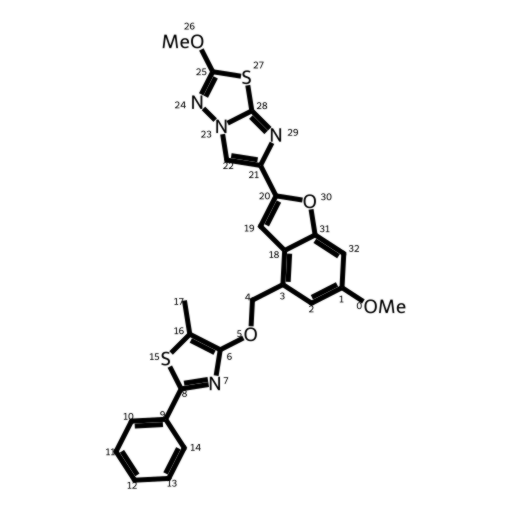 COc1cc(COc2nc(-c3ccccc3)sc2C)c2cc(-c3cn4nc(OC)sc4n3)oc2c1